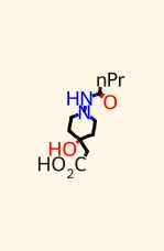 CCCC(=O)NN1CCC(O)(CC(=O)O)CC1